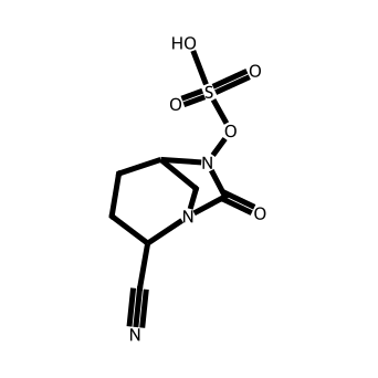 N#CC1CCC2CN1C(=O)N2OS(=O)(=O)O